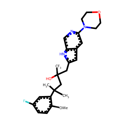 COc1ccc(F)cc1C(C)(C)CC(O)(Cc1cc2cc(N3CCOCC3)ncc2[nH]1)C(F)(F)F